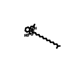 CC(C)CCCCCCCCCCCCCCCC1(C(=O)O)CCCCC1(CC(C)C)C(=O)O